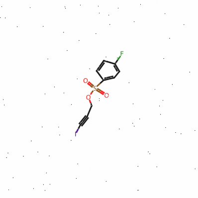 O=S(=O)(OCC#CI)c1ccc(F)cc1